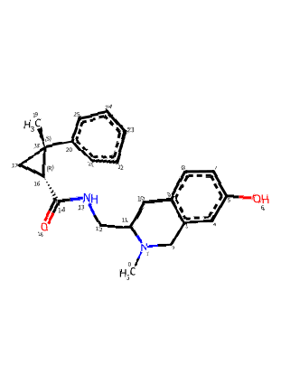 CN1Cc2cc(O)ccc2CC1CNC(=O)[C@@H]1C[C@]1(C)c1ccccc1